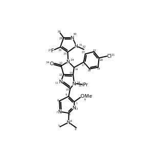 COc1nc(N(C)C)ncc1-c1nc2c(n1C(C)C)C(c1ccc(Cl)cc1)N(c1c(F)c(C)nn1C)C2=O